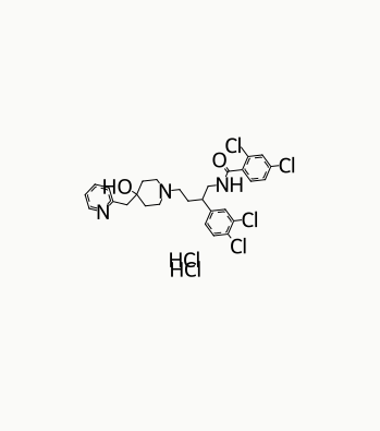 Cl.Cl.O=C(NCC(CCN1CCC(O)(Cc2ccccn2)CC1)c1ccc(Cl)c(Cl)c1)c1ccc(Cl)cc1Cl